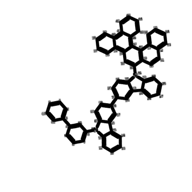 c1ccc(-c2cccc(-n3c4ccccc4c4cc(-c5ccc6c(c5)c5ccccc5n6-c5cc6c7ccccc7c7ccccc7c6c6c5ccc5ccccc56)ccc43)c2)cc1